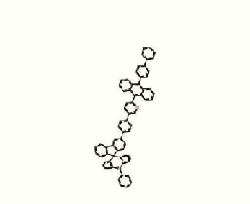 c1ccc(-c2ccc(-c3c4ccccc4c(-c4ccc(-c5ccc(-c6ccc7c(c6)-c6ccccc6C76c7ccccc7N(c7ccccc7)c7ccccc76)cc5)cn4)c4ccccc34)cc2)cc1